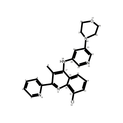 Cc1c(-c2ccccn2)nc2c(Cl)cccc2c1Nc1cncc(N2CCOCC2)c1